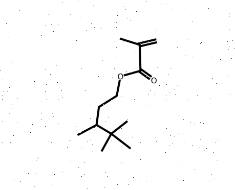 C=C(C)C(=O)OCCC(C)C(C)(C)C